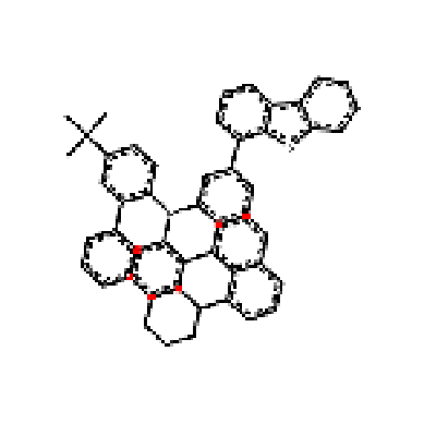 CC(C)(C)c1ccc(N(c2cccc(-c3cccc4c3sc3ccccc34)c2)c2ccccc2-c2cccc3cccc(C4CCCCC4)c23)c(-c2ccccc2)c1